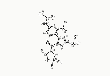 CC[C@H](Nc1cc(C(F)F)c(-c2sc(C(=O)[O-])nc2C(=O)N2CC(F)(F)C[C@@H]2C)cn1)C(F)(F)F.[K+]